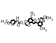 COc1ccc(NC(=O)OC[C@H]2COc3c(cc(C)c4oc(-c5cc(C)cc6nc(OC)cnc56)cc34)O2)cn1